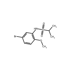 COc1ccc(Br)cc1NS(=O)(=O)C(C)C